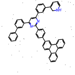 C1=CNCC(c2cccc(-c3cc(-c4cccc(-c5ccccc5)c4)nc(-c4ccc(-c5ccc6c7ccccc7c7ccccc7c6c5)cc4)n3)c2)=C1